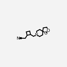 N#CCC1CCC1CN1CCC2(CCOO2)CC1